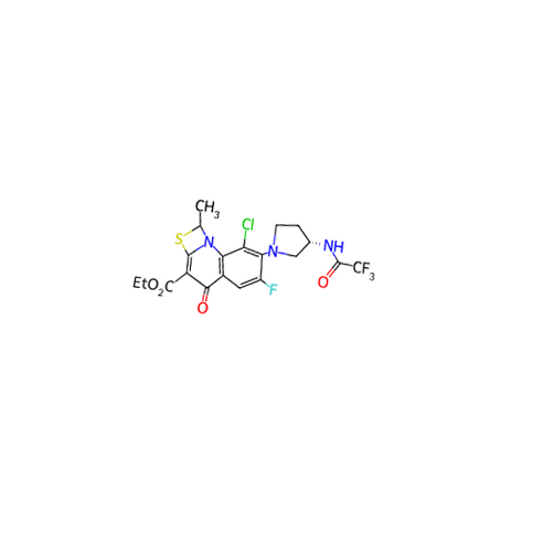 CCOC(=O)c1c2n(c3c(Cl)c(N4CC[C@H](NC(=O)C(F)(F)F)C4)c(F)cc3c1=O)C(C)S2